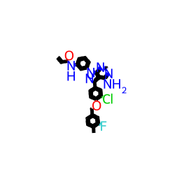 C=CC(=O)Nc1cccc(-n2nc(-c3ccc(OCc4ccc(C)c(F)c4)c(Cl)c3)c3c(N)ncnc32)c1